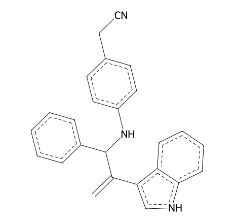 C=C(c1c[nH]c2ccccc12)C(Nc1ccc(CC#N)cc1)c1ccccc1